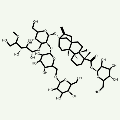 C=C1C[C@@]23CC[C@H]4[C@@](C)(CCC[C@@]4(C)C(=O)O[C@@H]4OC(CO)[C@@H](O)C(O)C4O)[C@@H]2CC[C@]1(O[C@@H]1OC(CO)[C@@H](O)C(O[C@H](O)C(O)[C@H](O)C(CO)OC)[C@@H]1O[C@@H]1OC(CO[C@H]2OC(CO)[C@@H](O)C(O)C2O)[C@@H](O)C(O)C1O)C3